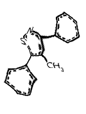 Cc1c(-c2ccccc2)nsc1-c1ccccc1